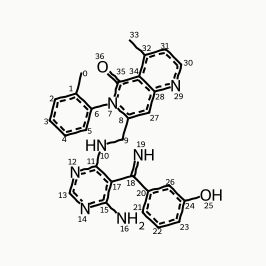 Cc1ccccc1-n1c(CNc2ncnc(N)c2C(=N)c2cccc(O)c2)cc2nccc(C)c2c1=O